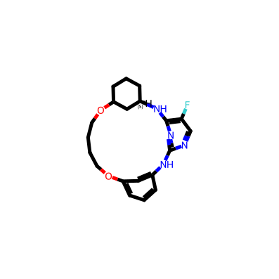 Fc1cnc2nc1N[C@H]1CCCC(C1)OCCCCOc1cccc(c1)N2